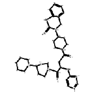 O=C(CC(Nc1ccncn1)C(=O)N1CCC(N2CCCCC2)CC1)N1CCC(N2Cc3ccccc3NC2=O)CC1